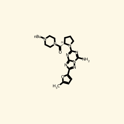 CCCCN1CCN(C(=O)[C@@H]2CCCN2c2nc(N)n3nc(-c4ccc(C)o4)nc3n2)CC1